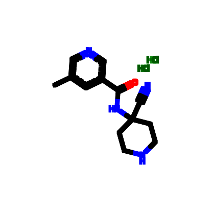 Cc1cncc(C(=O)NC2(C#N)CCNCC2)c1.Cl.Cl